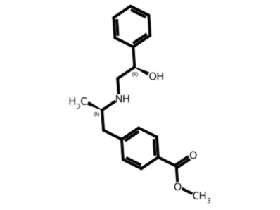 COC(=O)c1ccc(C[C@@H](C)NC[C@H](O)c2ccccc2)cc1